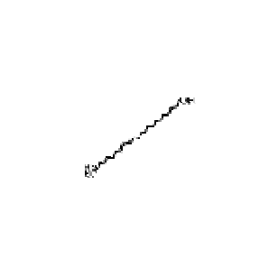 CCNCCCCCCCCCCCCCCCCCCCCCCO